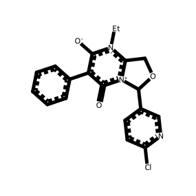 CCn1c([O-])c(-c2ccccc2)c(=O)[n+]2c1COC2c1ccc(Cl)nc1